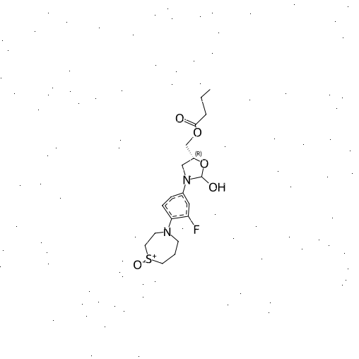 CCCC(=O)OC[C@H]1CN(c2ccc(N3CCC[S+]([O-])CC3)c(F)c2)C(O)O1